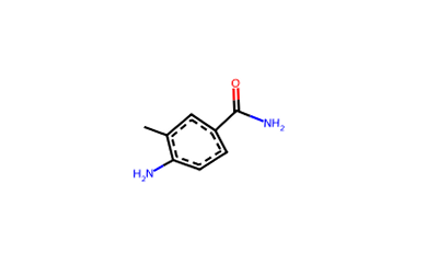 Cc1cc(C(N)=O)ccc1N